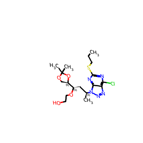 CCCSc1nc(Cl)c2nnn([C@@H](C)C[C@H](OCCO)[C@H]3COC(C)(C)O3)c2n1